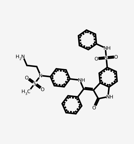 CS(=O)(=O)N(CCN)c1ccc(NC(=C2C(=O)Nc3ccc(S(=O)(=O)Nc4ccccc4)cc32)c2ccccc2)cc1